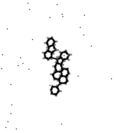 c1ccc(-c2ccc3ccc4c5c(ccc2c35)cc2c4c3cnccc3n2-c2cccc3c2sc2ccccc23)cc1